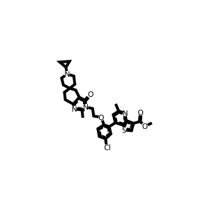 COC(=O)c1csc2c(-c3cc(Cl)ccc3OCCn3c(C)nc4c(c3=O)CC3(CC4)CCN(C4CC4)CC3)cc(C)nc12